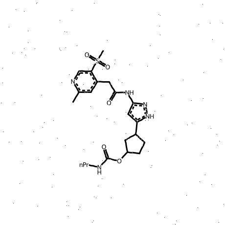 CCCNC(=O)OC1CCC(c2cc(NC(=O)Cc3cc(C)ncc3S(C)(=O)=O)n[nH]2)C1